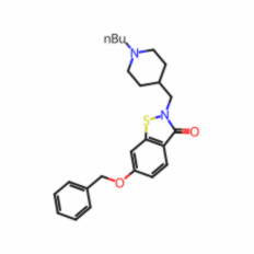 CCCCN1CCC(Cn2sc3cc(OCc4ccccc4)ccc3c2=O)CC1